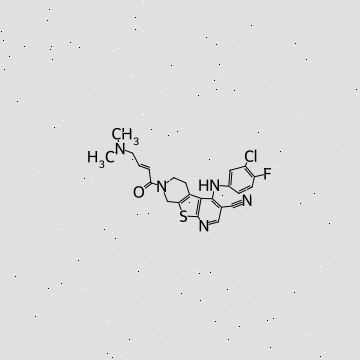 CN(C)CC=CC(=O)N1CCc2c(sc3ncc(C#N)c(Nc4ccc(F)c(Cl)c4)c23)C1